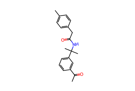 CC(=O)c1cccc(C(C)(C)NC(=O)Cc2ccc(C)cc2)c1